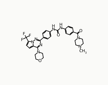 CN1CCN(C(=O)c2ccc(NC(=O)Nc3ccc(-c4nc(N5CCOCC5)c5ccc(C(F)(F)F)n5n4)cc3)cc2)CC1